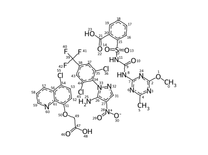 COc1nc(C)nc(NC(=O)NS(=O)(=O)c2ccccc2C(=O)O)n1.Nc1c([N+](=O)[O-])cnn1-c1c(Cl)cc(C(F)(F)F)cc1Cl.O=C(O)COc1ccc(Cl)c2cccnc12